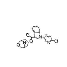 CN1C2COCC1CC(OC(=O)c1cn(-c3cnc(Cl)cn3)c3ccccc13)C2